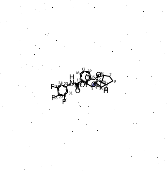 O=C(O)/C=C1\CC2CC[C@@H](C1)[C@H]2S(=O)(=O)c1cccc(C(=O)Nc2cc(F)c(F)c(F)c2)c1